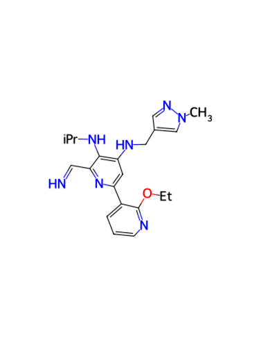 CCOc1ncccc1-c1cc(NCc2cnn(C)c2)c(NC(C)C)c(C=N)n1